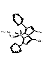 CC(C)(C)C1=CC(c2ccccc2)=[C]([Hf]([CH3])([CH3])(=[SiH2])[C]2=C(c3ccccc3)C=C(C(C)(C)C)C2)C1.Cl.Cl